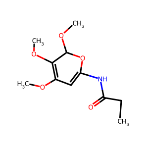 CCC(=O)NC1=CC(OC)=C(OC)[C](OC)O1